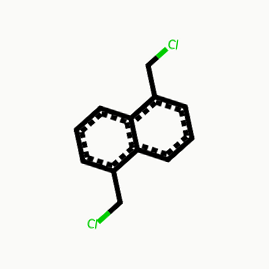 ClCc1cccc2c(CCl)cccc12